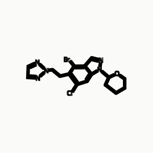 Clc1cc2c(cnn2C2CCCCO2)c(Br)c1CCn1nccn1